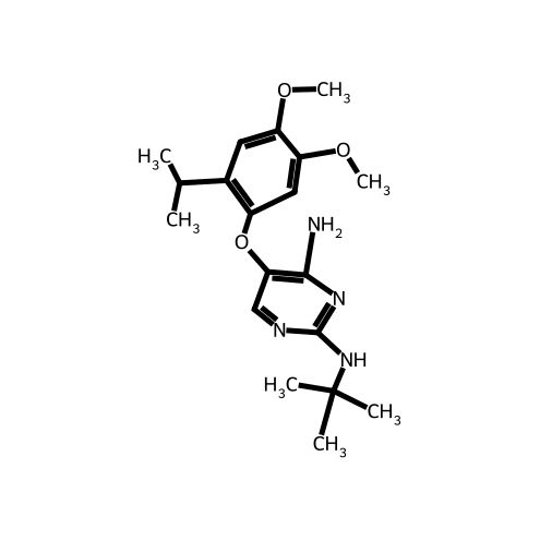 COc1cc(Oc2cnc(NC(C)(C)C)nc2N)c(C(C)C)cc1OC